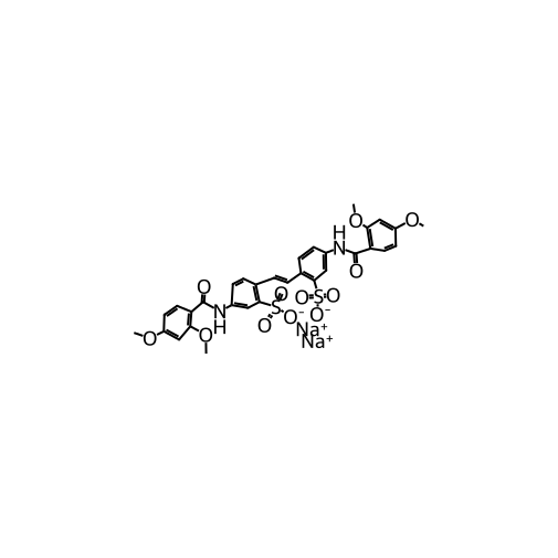 COc1ccc(C(=O)Nc2ccc(C=Cc3ccc(NC(=O)c4ccc(OC)cc4OC)cc3S(=O)(=O)[O-])c(S(=O)(=O)[O-])c2)c(OC)c1.[Na+].[Na+]